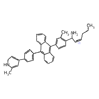 CCC/C=C\C(N)c1ccc(-c2c3ccccc3c(-c3ccc(C4=CCNC(C)=C4)cc3)c3ccccc23)cc1C